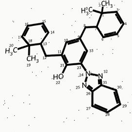 CC1(C)C=CC=CC1Cc1cc(CC2C=CC=CC2(C)C)c(O)c(-n2nc3ccccc3n2)c1